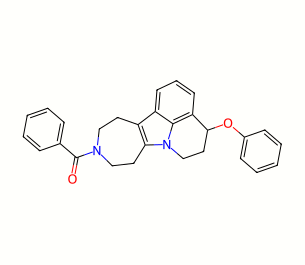 O=C(c1ccccc1)N1CCc2c(n3c4c(cccc24)C(Oc2ccccc2)CC3)CC1